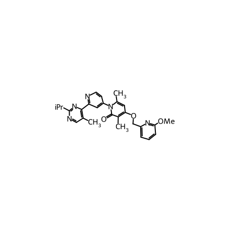 COc1cccc(COc2cc(C)n(-c3ccnc(-c4nc(C(C)C)ncc4C)c3)c(=O)c2C)n1